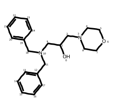 OC(CN1CCOCC1)CN(Cc1ccccc1)Cc1ccccc1